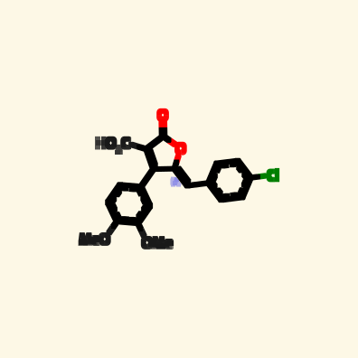 COc1ccc(C2=C(C(=O)O)C(=O)O/C2=C\c2ccc(Cl)cc2)cc1OC